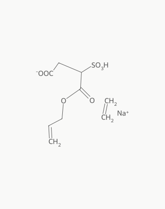 C=C.C=CCOC(=O)C(CC(=O)[O-])S(=O)(=O)O.[Na+]